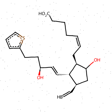 B=C[C@@H]1CC(O)[C@H](C/C=C\CCCC(=O)O)[C@H]1/C=C/[C@@H](O)CCc1cccs1